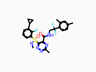 CN=S(=O)(c1cccc(C2CC2)c1F)c1nnc(C)nc1C(=O)NCC(F)(F)c1ccc(C)cc1C